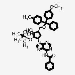 COc1ccc(C(OC[C@H]2C[C@@H](n3cnc4c(NC(=O)c5ccccc5)ncnc43)[C@H](O[Si](C)(C)C(C)(C)C)[C@@H]2O)(c2ccccc2)c2ccc(C)cc2)cc1